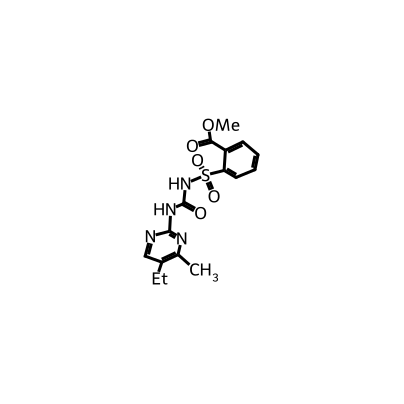 CCc1cnc(NC(=O)NS(=O)(=O)c2ccccc2C(=O)OC)nc1C